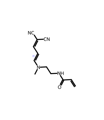 C=CC(=O)NCCN(C)/C=C/C=C(C#N)C#N